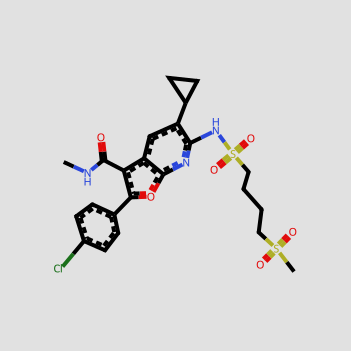 CNC(=O)c1c(-c2ccc(Cl)cc2)oc2nc(NS(=O)(=O)CCCCS(C)(=O)=O)c(C3CC3)cc12